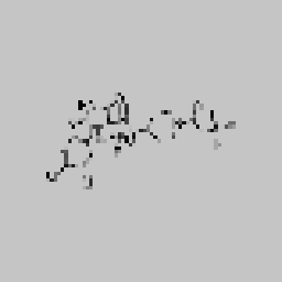 O=C(NC1(C(F)(F)F)C(=O)Nc2nc3cc(Cl)c(Cl)cc3n21)C1CCN(C(=O)CC(F)(F)F)CC1